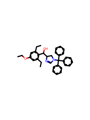 CCOc1cc(CC)c(C(O)C2CN(C(c3ccccc3)(c3ccccc3)c3ccccc3)C=N2)c(CC)c1